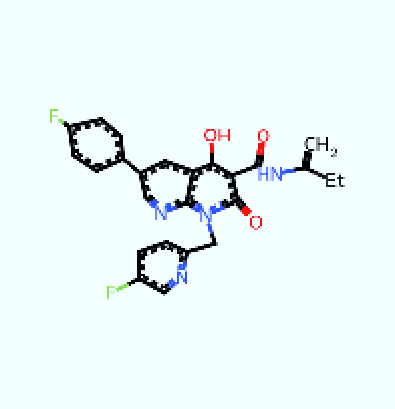 C=C(CC)NC(=O)c1c(O)c2cc(-c3ccc(F)cc3)cnc2n(Cc2ccc(F)cn2)c1=O